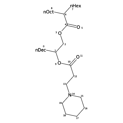 CCCCCCCCCCC(COC(=O)C(CCCCCC)CCCCCCCC)OC(=O)CCN1CCCCC1